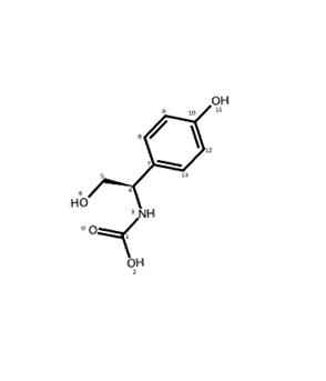 O=C(O)N[C@@H](CO)c1ccc(O)cc1